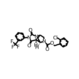 O=C1[C@H]2[C@H]3CC(CN3C(=O)OCc3ccccc3Cl)N2C(=O)N1c1cccc(C(F)(F)F)c1